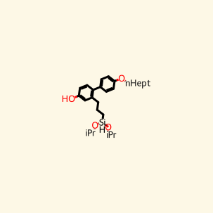 CCCCCCCOc1ccc(-c2ccc(O)cc2CCC[SiH](OC(C)C)OC(C)C)cc1